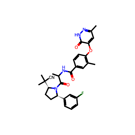 Cc1cc(Oc2ccc(C(=O)NC(C)C(=O)N3[C@H](c4cccc(F)c4)CC[C@@H]3C(C)(C)C#N)cc2C)c(=O)[nH]n1